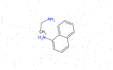 CCN.Nc1cccc2ccccc12